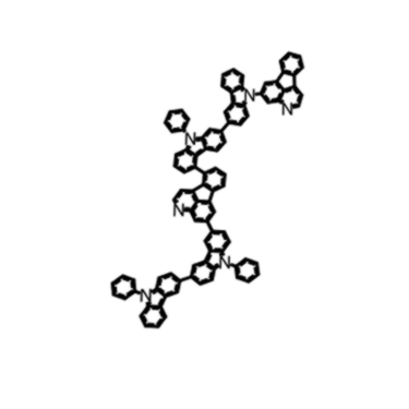 c1ccc(-n2c3ccccc3c3cc(-c4ccc5c(c4)c4cc(-c6cc7c8c(ccnc8c6)-c6c-7cccc6-c6cccc7c6c6ccc(-c8ccc9c(c8)c8ccccc8n9-c8cc9c%10c(ccnc%10c8)-c8ccccc8-9)cc6n7-c6ccccc6)ccc4n5-c4ccccc4)ccc32)cc1